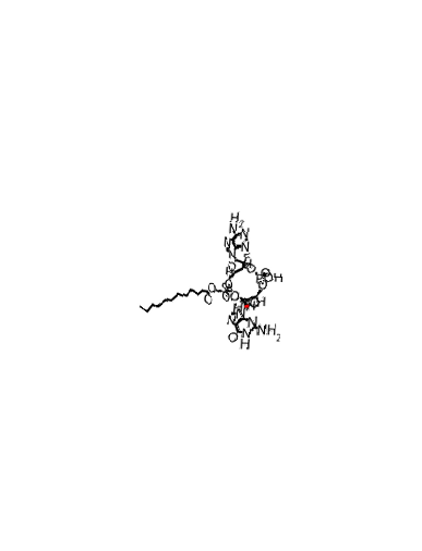 CCCCCCCCCCCC(=O)OCSP1(=O)OC[C@H]2O[C@@H](n3cnc4c(N)ncnc43)[C@H](F)[C@@H]2OCP(=O)(O)OC[C@H]2O[C@@H](n3cnc4c(=O)[nH]c(N)nc43)[C@H](O1)[C@@H]2F